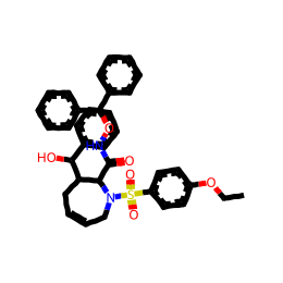 CCOc1ccc(S(=O)(=O)N2CC=CCC(C(O)c3ccccc3)C2C(=O)NOC(c2ccccc2)c2ccccc2)cc1